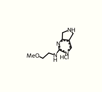 COCCNc1ncc2c(n1)CNC2.Cl